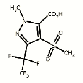 Cn1nc(C(F)(F)C(F)(F)F)c(S(C)(=O)=O)c1C(=O)O